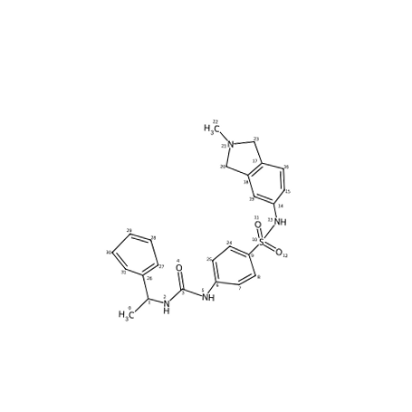 CC(NC(=O)Nc1ccc(S(=O)(=O)Nc2ccc3c(c2)CN(C)C3)cc1)c1ccccc1